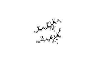 CCOC(=O)C(C)(C)[C@H](N)C(=O)OCCC(=O)O.CCOC(=O)[C@](C)(CC)[C@H](N)C(=O)OCCC(=O)O